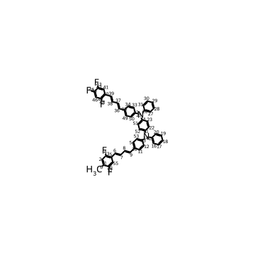 Cc1cc(F)c(/C=C/C=C/c2ccc(N(c3ccccc3)c3ccc(N(c4ccccc4)c4ccc(/C=C/C=C/c5cc(F)c(F)cc5F)cc4)cc3)cc2)cc1F